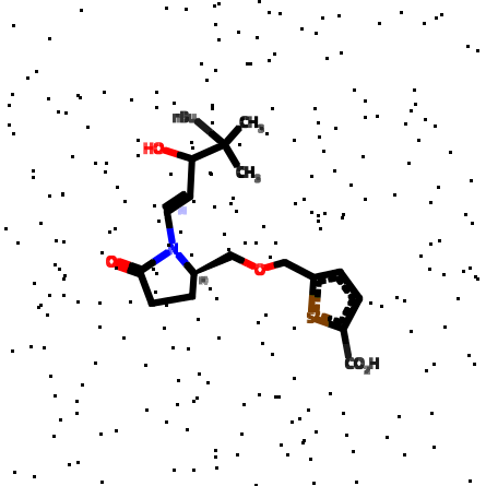 CCCCC(C)(C)C(O)/C=C/N1C(=O)CC[C@@H]1COCc1ccc(C(=O)O)s1